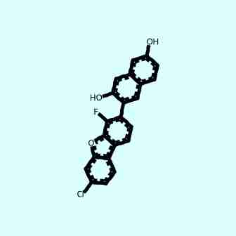 Oc1ccc2cc(-c3ccc4c(oc5cc(Cl)ccc54)c3F)c(O)cc2c1